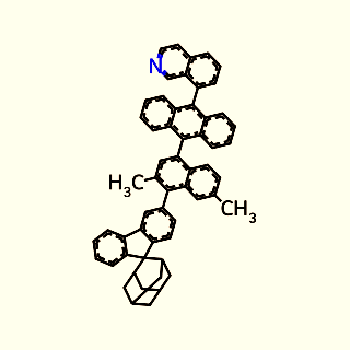 Cc1ccc2c(-c3c4ccccc4c(-c4cccc5ccncc45)c4ccccc34)cc(C)c(-c3ccc4c(c3)-c3ccccc3C43C4CC5CC(C4)CC3C5)c2c1